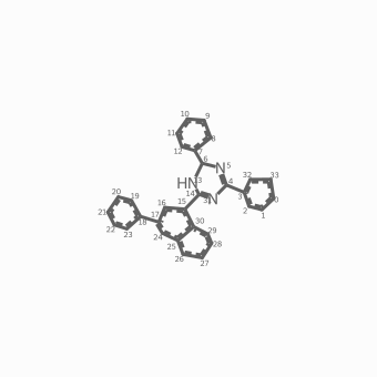 c1ccc(C2=NC(c3ccccc3)NC(c3cc(-c4ccccc4)cc4ccccc34)=N2)cc1